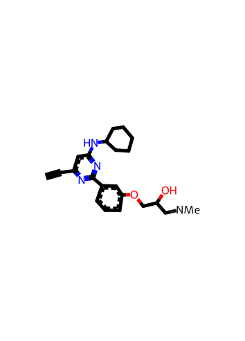 C#Cc1cc(NC2CCCCC2)nc(-c2cccc(OCC(O)CNC)c2)n1